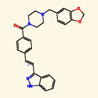 O=C(c1ccc(/C=C/c2n[nH]c3ccccc23)cc1)N1CCN(Cc2ccc3c(c2)OCO3)CC1